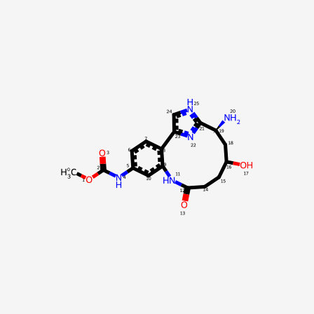 COC(=O)Nc1ccc2c(c1)NC(=O)CCC(O)C[C@H](N)c1nc-2c[nH]1